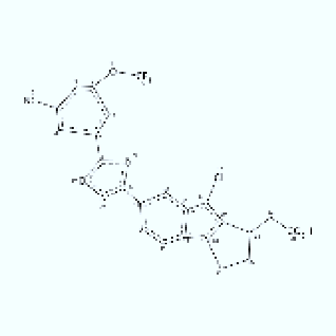 N#Cc1cc(OC(F)(F)F)cc(-c2nc(-c3ccc4c(c3)c(Cl)c3n4CCC3CC(=O)O)no2)c1